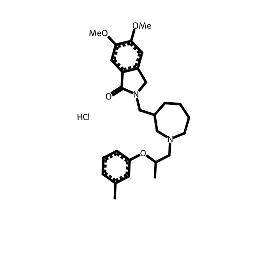 COc1cc2c(cc1OC)C(=O)N(CC1CCCCN(CC(C)Oc3cccc(C)c3)C1)C2.Cl